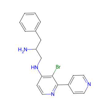 NC(CNc1ccnc(-c2ccncc2)c1Br)Cc1ccccc1